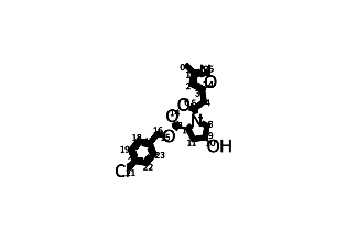 Cc1cc(CC(=O)N2C[C@H](O)C[C@H]2C(=O)OCc2ccc(Cl)cc2)on1